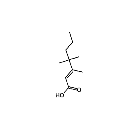 CCCC(C)(C)C(C)=CC(=O)O